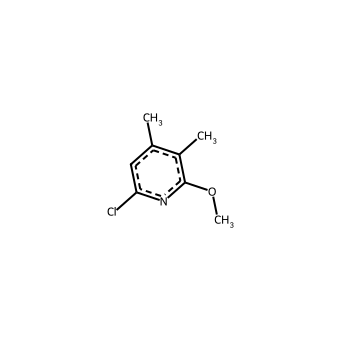 COc1nc(Cl)cc(C)c1C